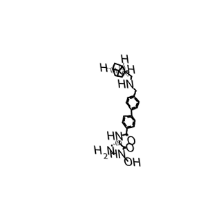 CC1(C)[C@H]2CC[C@@H](CNCc3ccc(-c4ccc(C(=O)N[C@@H](CN)C(=O)NO)cc4)cc3)[C@@H]1C2